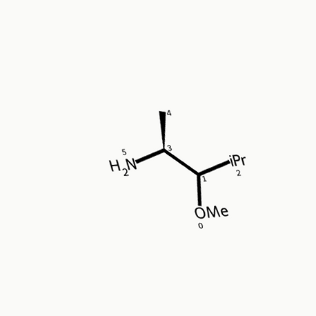 COC(C(C)C)[C@H](C)N